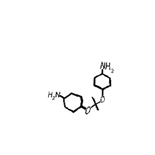 CC(C)(OC1CCC(N)CC1)OC1CCC(N)CC1